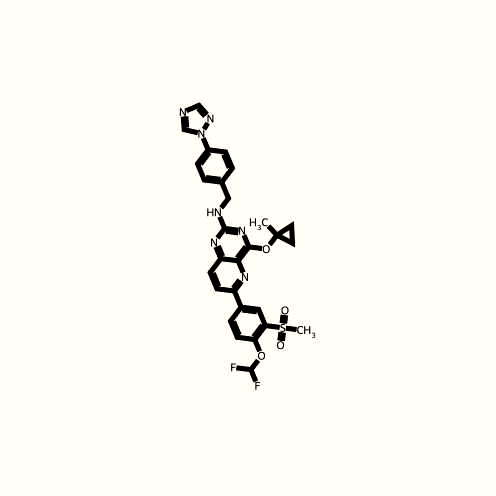 CC1(Oc2nc(NCc3ccc(-n4cncn4)cc3)nc3ccc(-c4ccc(OC(F)F)c(S(C)(=O)=O)c4)nc23)CC1